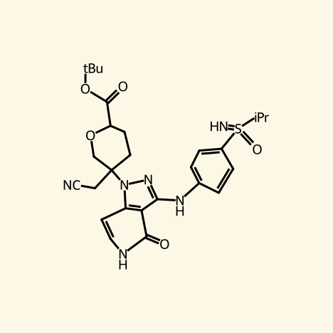 CC(C)S(=N)(=O)c1ccc(Nc2nn(C3(CC#N)CCC(C(=O)OC(C)(C)C)OC3)c3cc[nH]c(=O)c23)cc1